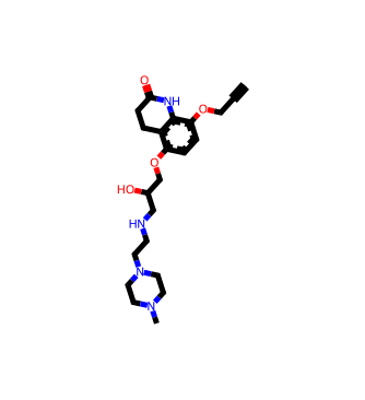 C#CCOc1ccc(OCC(O)CNCCN2CCN(C)CC2)c2c1NC(=O)CC2